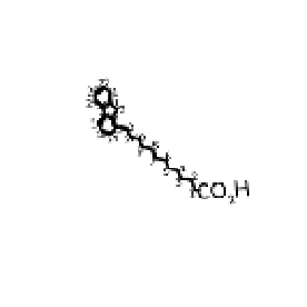 O=C(O)CCCCCCCCCCCCc1cccc2c1Cc1ccccc1-2